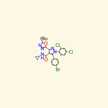 CC(C)(C)c1nnc(-c2nn(-c3ccc(Cl)cc3Cl)c(-c3ccc(Br)cc3)c2C(=O)NC2CC2)o1